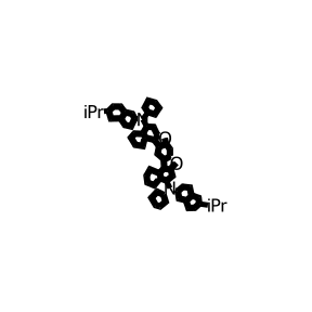 CC(C)c1ccc2cc(N(c3ccccc3)c3cc4oc5cc6oc7cc(N(c8ccccc8)c8ccc9cc(C(C)C)ccc9c8)c8ccccc8c7c6cc5c4c4ccccc34)ccc2c1